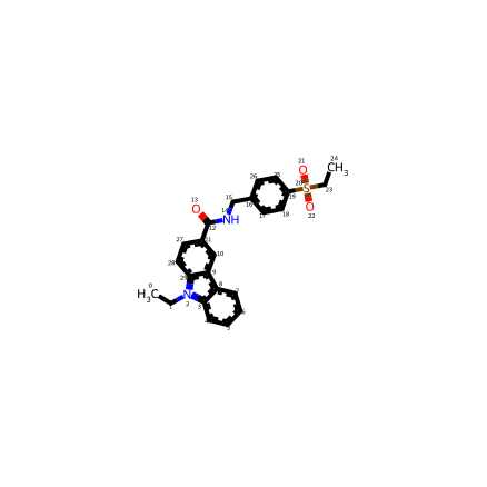 CCn1c2ccccc2c2cc(C(=O)NCc3ccc(S(=O)(=O)CC)cc3)ccc21